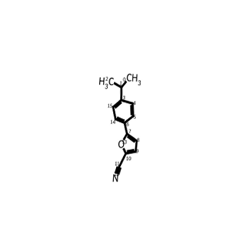 CC(C)c1ccc(-c2ccc(C#N)o2)cc1